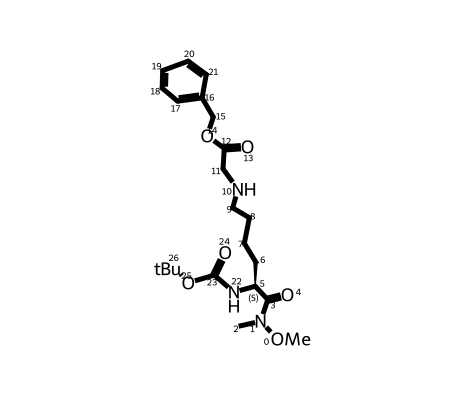 CON(C)C(=O)[C@H](CCCCNCC(=O)OCc1ccccc1)NC(=O)OC(C)(C)C